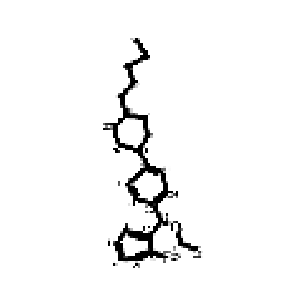 CCCCCC1CCC(c2ccc(C(OCC)c3ccccc3F)cc2)CC1